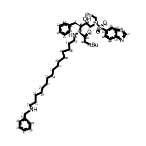 CC(C)CN(C[C@@H](O)[C@H](Cc1ccccc1)N(NCCCCCCCCCCCCCCCCNCc1ccccc1)C(=O)CC(C)(C)C)S(=O)(=O)c1ccc2ncsc2c1